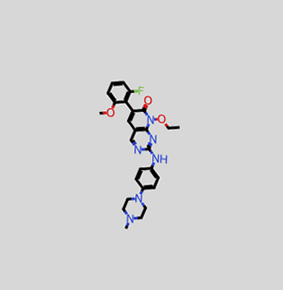 CCOn1c(=O)c(-c2c(F)cccc2OC)cc2cnc(Nc3ccc(N4CCN(C)CC4)cc3)nc21